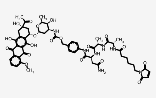 COc1cccc2c1C(=O)c1c(O)c3c(c(O)c1C2=O)C[C@@](O)(C(C)=O)C[C@@H]3O[C@H]1C[C@H](NC(=O)OCc2ccc(NC(=O)[C@H](CC(N)=O)NC(=O)[C@H](C)NC(=O)[C@H](C)NC(=O)CCCCCN3C(=O)C=CC3=O)cc2)[C@H](O)[C@H](C)O1